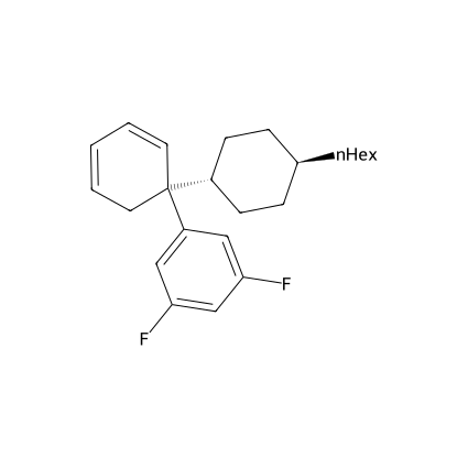 CCCCCC[C@H]1CC[C@H](C2(c3cc(F)cc(F)c3)C=CC=CC2)CC1